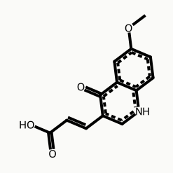 COc1ccc2[nH]cc(C=CC(=O)O)c(=O)c2c1